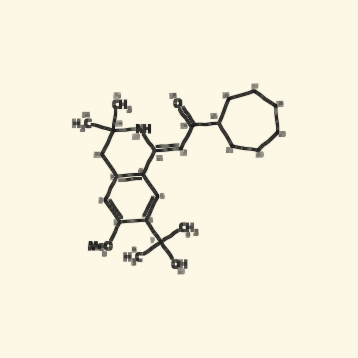 COc1cc2c(cc1C(C)(C)O)C(=CC(=O)C1CCCCCC1)NC(C)(C)C2